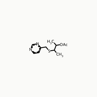 CC(=O)OC(C)C(C)SCc1ccncn1